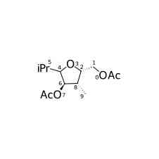 CC(=O)OC[C@H]1OC(C(C)C)[C@H](OC(C)=O)[C@H]1C